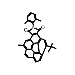 Cc1cccc(C)c1-n1c(=O)c2c3cc(C)c4ccc5ccc6c(C(C)(C)C)cc(c2c1=O)c1c6c5c4c31